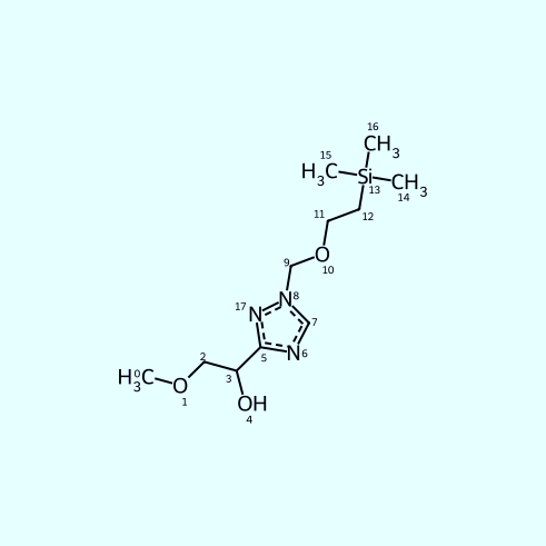 COCC(O)c1ncn(COCC[Si](C)(C)C)n1